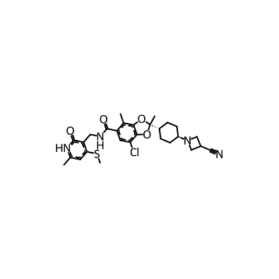 CSc1cc(C)[nH]c(=O)c1CNC(=O)c1cc(Cl)c2c(c1C)OC(C)([C@H]1CC[C@H](N3CC(C#N)C3)CC1)O2